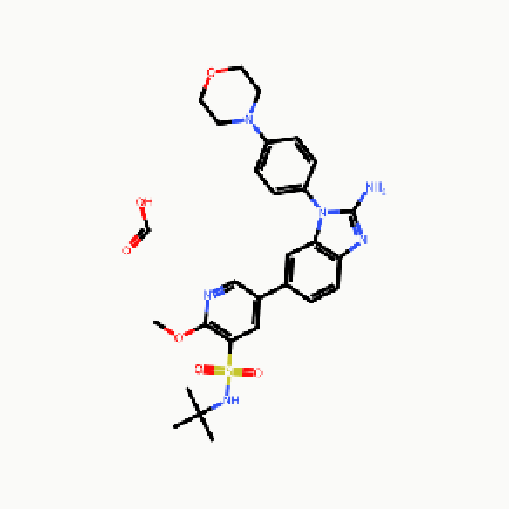 COc1ncc(-c2ccc3nc(N)n(-c4ccc(N5CCOCC5)cc4)c3c2)cc1S(=O)(=O)NC(C)(C)C.O=CO